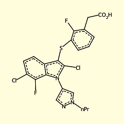 CCCn1cc(-n2c(Cl)c(Sc3cccc(CC(=O)O)c3F)c3ccc(Cl)c(F)c32)cn1